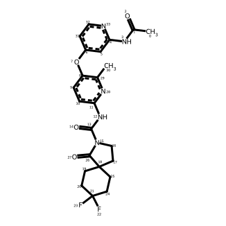 CC(=O)Nc1cc(Oc2ccc(NC(=O)N3CCC4(CCC(F)(F)CC4)C3=O)nc2C)ccn1